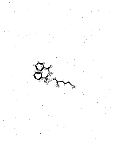 CCC(O)CCCO.O=C(O)c1ccccc1.O=C(O)c1ccccc1